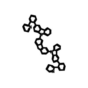 c1ccc(-c2ccccc2-c2ccc3c(c2)c2ccccc2n3-c2ccc3c(c2)-c2cc(-n4c5ccccc5c5cc(-c6ccccc6-c6ccccn6)ccc54)ccc2C3)nc1